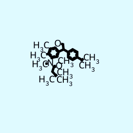 Cc1c(C)c(N(C)C(=O)CC(C)(C)C)c(C)c2c1OCC2c1ccc(C(C)C)cc1